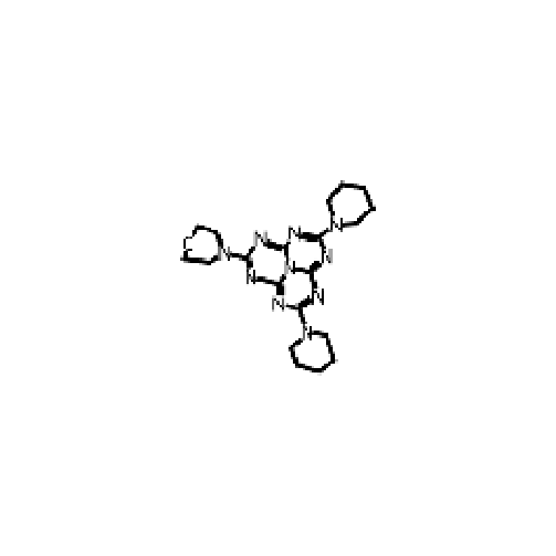 C1CCN(C2=NC3=NC(N4CCCCC4)=NC4=NC(N5CCCCC5)=NC(=N2)N34)CC1